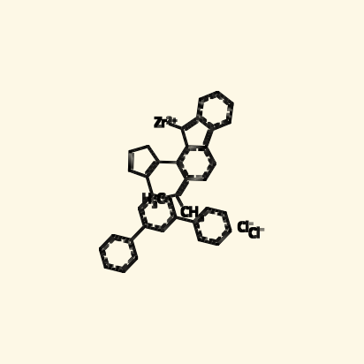 CC(C)=c1ccc2c(c1C1=C(c3cc(-c4ccccc4)cc(-c4ccccc4)c3)C=CC1)[C]([Zr+2])=c1ccccc1=2.[Cl-].[Cl-]